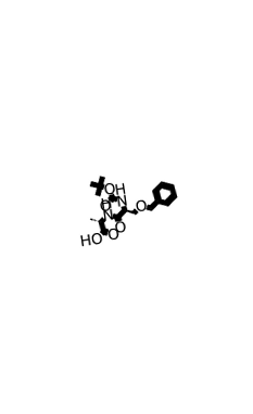 C[C@H](NC(=O)[C@H](COCc1ccccc1)NC(=O)OC(C)(C)C)C(=O)O